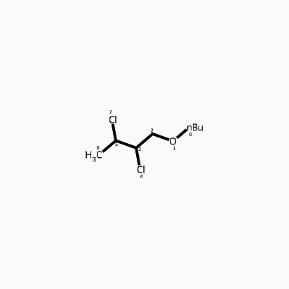 [CH2]CCCOCC(Cl)C(C)Cl